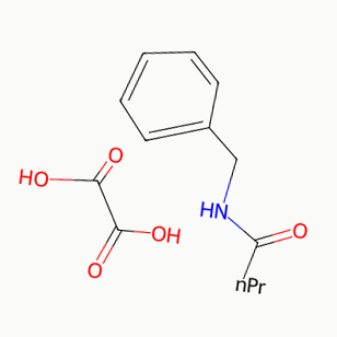 CCCC(=O)NCc1ccccc1.O=C(O)C(=O)O